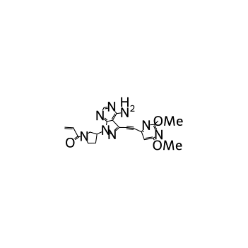 C=CC(=O)N1CCC(n2nc(C#Cc3cc(OC)nc(OC)n3)c3c(N)ncnc32)C1